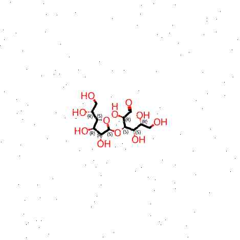 O=C[C@H](O)[C@@H](O[C@@H]1O[C@@H]([C@H](O)CO)[C@H](O)[C@H]1O)[C@@H](O)[C@H](O)CO